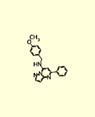 COc1ccc(CNc2cc(-c3ccccc3)nc3ccnn23)cc1